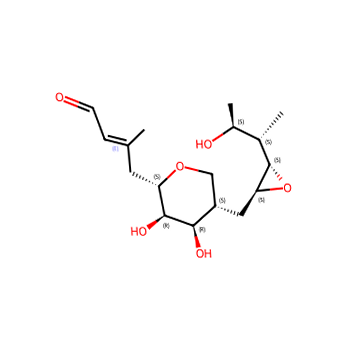 C/C(=C\C=O)C[C@@H]1OC[C@H](C[C@@H]2O[C@H]2[C@@H](C)[C@H](C)O)[C@@H](O)[C@H]1O